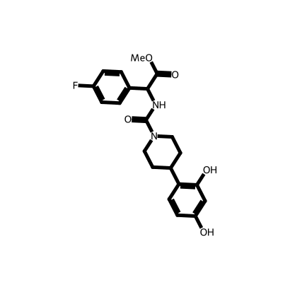 COC(=O)C(NC(=O)N1CCC(c2ccc(O)cc2O)CC1)c1ccc(F)cc1